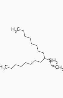 C=C[SiH2]C(CCCCCCCC)CCCCCCCC